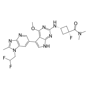 COc1nc(N[C@H]2C[C@](F)(C(=O)N(C)C)C2)nc2[nH]cc(-c3cnc4nc(C)n(CC(F)F)c4c3)c12